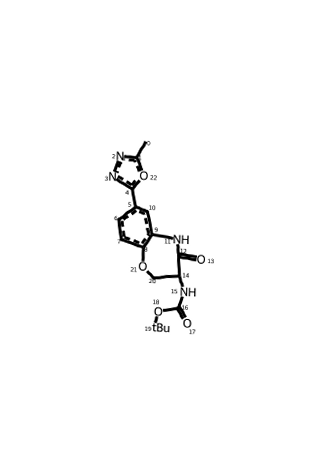 Cc1nnc(-c2ccc3c(c2)NC(=O)C(NC(=O)OC(C)(C)C)CO3)o1